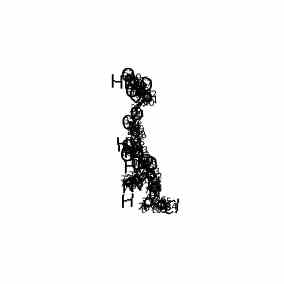 CC1(C)CCC(CN2CCN(c3ccc(C(=O)NS(=O)(=O)c4ccc(NCC5CCN(C(=O)CCOCC#Cc6cccc7c6C(=O)N(C6CCC(=O)NC6=O)C7=O)CC5)c([N+](=O)[O-])c4)c(Oc4cnc5[nH]ccc5c4)c3)CC2)=C(c2ccc(Cl)cc2)C1